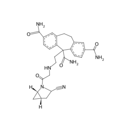 N#CC1C[C@@H]2C[C@@H]2N1C(=O)CNCCC1(C(N)=O)c2ccc(C(N)=O)cc2CCc2cc(C(N)=O)ccc21